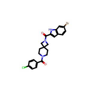 O=C(c1ccc(Cl)cc1)N1CCC2(CC1)CN(C(=O)c1cc3ccc(Br)cc3[nH]1)C2